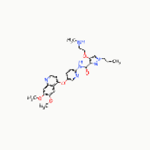 CCCn1cc(OCCNC)c(C(=O)Nc2ccc(Oc3ccnc4cc(OC)c(OC)cc34)cn2)n1